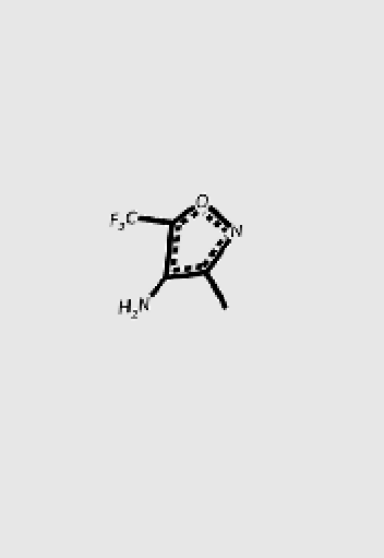 Cc1noc(C(F)(F)F)c1N